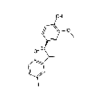 COc1cc([C@@H]2Oc3ccc(C)cc3C2C)ccc1O